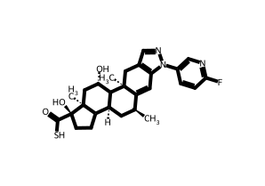 C[C@H]1C[C@@H]2C([C@@H](O)C[C@@]3(C)C2CC[C@]3(O)C(=O)S)[C@@]2(C)Cc3cnn(-c4ccc(F)nc4)c3C=C12